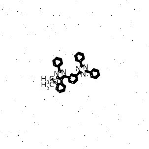 C[Si]1(C)c2ccccc2-c2c(-c3cccc(-c4nc(-c5ccccc5)nc(-c5ccccc5)n4)c3)nc(-c3ccccc3)nc21